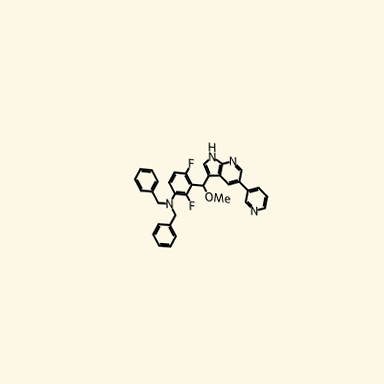 COC(c1c(F)ccc(N(Cc2ccccc2)Cc2ccccc2)c1F)c1c[nH]c2ncc(-c3cccnc3)cc12